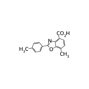 Cc1ccc(-c2nc3c(C(=O)O)ccc(C)c3o2)cc1